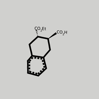 CCOC(=O)[C@H]1Cc2ccccc2C[C@@H]1C(=O)O